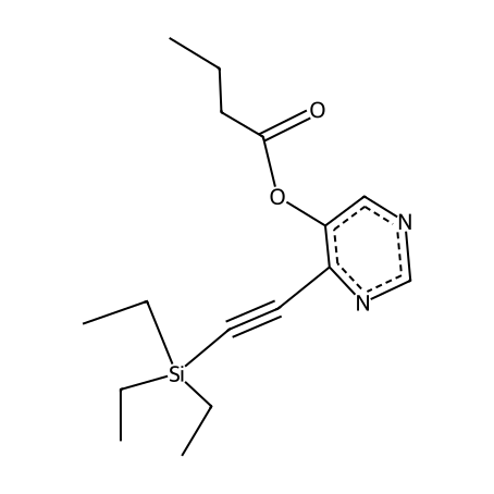 CCCC(=O)Oc1cncnc1C#C[Si](CC)(CC)CC